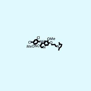 COc1cc(Nc2c(C#N)cnc3cc(OCCCN4C(C)CCC4C)c(OC)cc23)c(Cl)cc1Cl